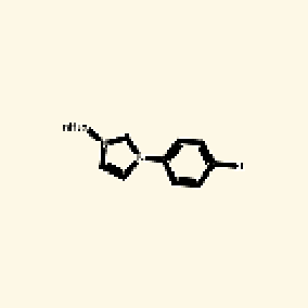 CCCCCCN1C=CN(c2ccc(CC)cc2)C1